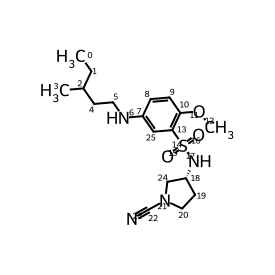 CCC(C)CCNc1ccc(OC)c(S(=O)(=O)N[C@@H]2CCN(C#N)C2)c1